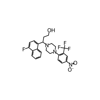 O=[N+]([O-])c1ccc(N2CCN(C(CCO)c3ccc(F)c4ccccc34)CC2)c(C(F)(F)F)c1